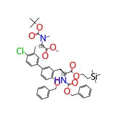 COC(=O)[C@H](Cc1cc(-c2ccc(OCc3ccccc3)c(C[C@H](NC(=O)OCc3ccccc3)C(=O)OCC[Si](C)(C)C)c2)ccc1Cl)N(C)C(=O)OC(C)(C)C